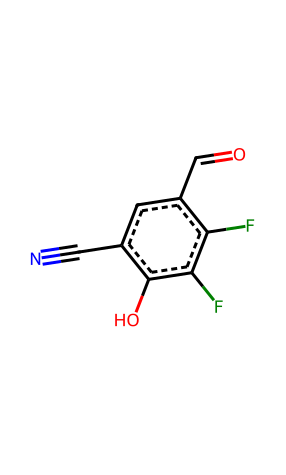 N#Cc1cc(C=O)c(F)c(F)c1O